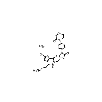 Br.CNCCCCC(=O)N(C[C@H]1CN(c2ccc(N3CCOCC3=O)cc2)C(=O)O1)C(=O)c1ccc(Cl)s1